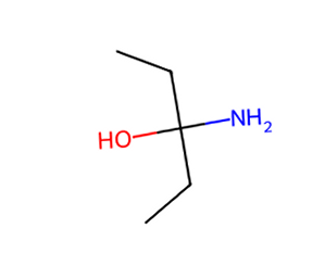 CCC(N)(O)CC